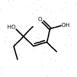 CCC(C)(O)C=C(C)C(=O)O